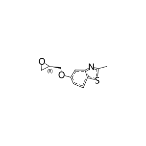 Cc1nc2cc(OC[C@H]3CO3)ccc2s1